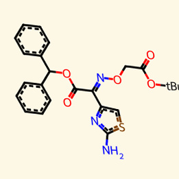 CC(C)(C)OC(=O)CON=C(C(=O)OC(c1ccccc1)c1ccccc1)c1csc(N)n1